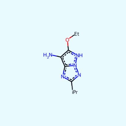 CCOc1[nH]n2nc(C(C)C)nc2c1N